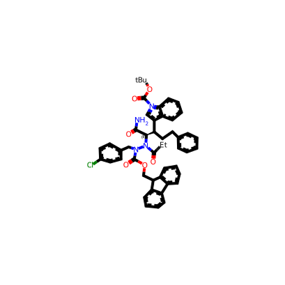 CCC(=O)N([C@@H](C(N)=O)C(CCc1ccccc1)c1cn(C(=O)OC(C)(C)C)c2ccccc12)N(Cc1ccc(Cl)cc1)C(=O)OCC1c2ccccc2-c2ccccc21